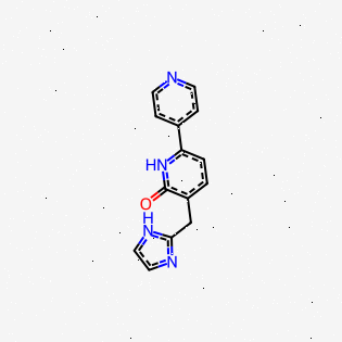 O=c1[nH]c(-c2ccncc2)ccc1Cc1ncc[nH]1